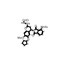 COc1ccc(C(CC(=O)NNC=O)N2C(=O)c3cccc(NC(C)=O)c3C2=O)cc1OC1CCCC1